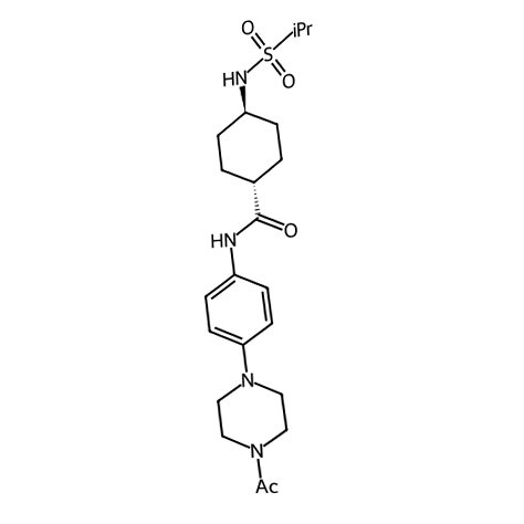 CC(=O)N1CCN(c2ccc(NC(=O)[C@H]3CC[C@H](NS(=O)(=O)C(C)C)CC3)cc2)CC1